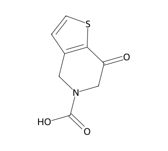 O=C1CN(C(=O)O)Cc2ccsc21